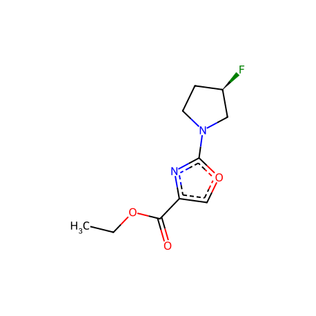 CCOC(=O)c1coc(N2CC[C@@H](F)C2)n1